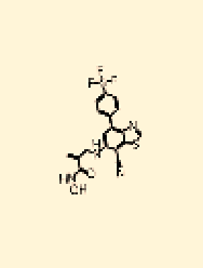 C=C(CNc1cc(-c2ccc(S(F)(F)F)cc2)c2ncsc2c1C#N)C(=O)NO